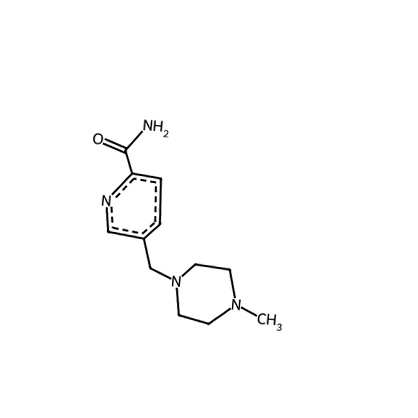 CN1CCN(Cc2ccc(C(N)=O)nc2)CC1